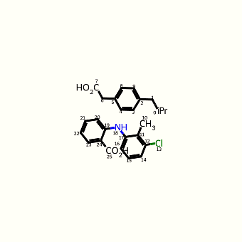 CC(C)Cc1ccc(CC(=O)O)cc1.Cc1c(Cl)cccc1Nc1ccccc1C(=O)O